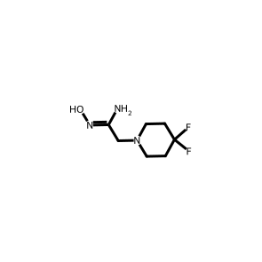 N/C(CN1CCC(F)(F)CC1)=N\O